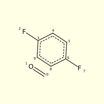 C=O.Fc1ccc(F)cc1